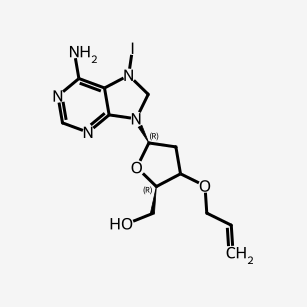 C=CCOC1C[C@H](N2CN(I)c3c(N)ncnc32)O[C@@H]1CO